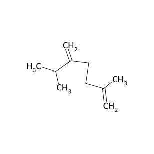 C=C(C)CCC(=C)[C](C)C